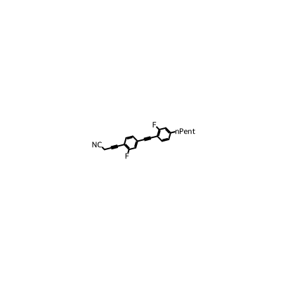 CCCCCc1ccc(C#Cc2ccc(C#CCC#N)c(F)c2)c(F)c1